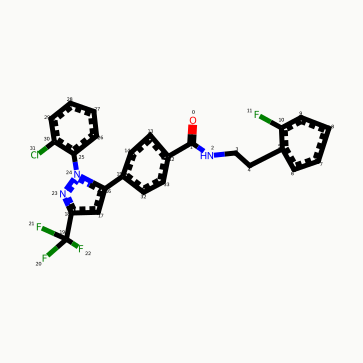 O=C(NCCc1ccccc1F)c1ccc(-c2cc(C(F)(F)F)nn2-c2ccccc2Cl)cc1